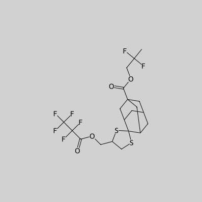 CC(F)(F)COC(=O)C12CC3CC(C1)C1(SCC(COC(=O)C(F)(F)C(F)(F)F)S1)C(C3)C2